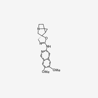 COc1cc2cnc(NC3=NC[C@@]4(CN5CCC56CC64)O3)cc2cc1OC